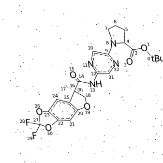 CC(C)(C)OC(=O)C1CCCN1c1cnc(NC(=O)[C@@]2(C)COc3cc4c(cc32)OC(F)(F)O4)cn1